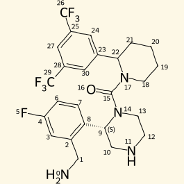 NCc1cc(F)ccc1[C@H]1CNCCN1C(=O)N1CCCCC1c1cc(C(F)(F)F)cc(C(F)(F)F)c1